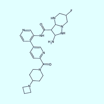 NC1NN2CC(F)CNC2C1C(=O)Nc1cnccc1-c1ccc(C(=O)N2CCC(N3CCC3)CC2)nc1